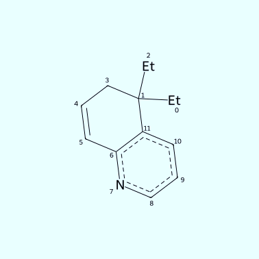 CCC1(CC)CC=Cc2ncccc21